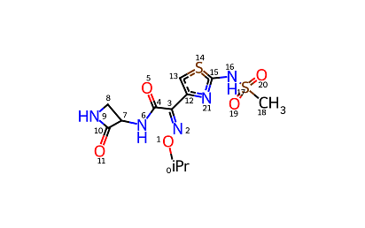 CC(C)ON=C(C(=O)NC1CNC1=O)c1csc(NS(C)(=O)=O)n1